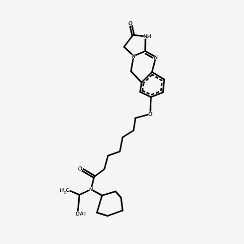 CC(=O)OC(C)N(C(=O)CCCCCCOc1ccc2c(c1)CN1CC(=O)NC1=N2)C1CCCCC1